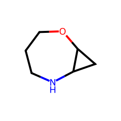 C1CNC2CC2OC1